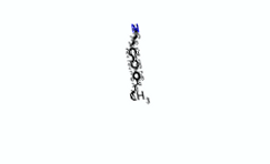 CCCCCc1ccc([C@H]2CC[C@H]([C@H]3CC[C@H](C=CC=CC#N)CC3)CC2)cc1